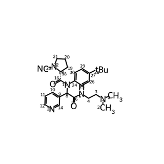 CN(C)CCNC(=O)C(c1cccnc1)N(C(=O)[C@H]1CCCN1C#N)c1ccc(C(C)(C)C)cc1